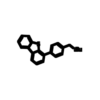 CC(C)(C)Cc1ccc(-c2cccc3c2sc2ccccc23)cc1